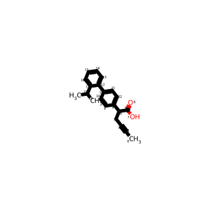 CC#CCC(C(=O)O)c1ccc(-c2ccccc2C(C)C)cc1